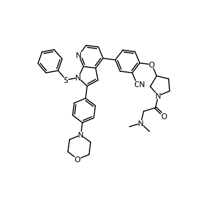 CN(C)CC(=O)N1CCC(Oc2ccc(-c3ccnc4c3cc(-c3ccc(N5CCOCC5)cc3)n4Sc3ccccc3)cc2C#N)C1